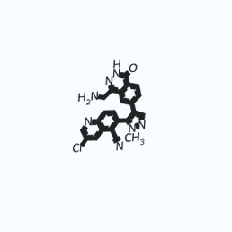 Cn1ncc(-c2ccc3c(=O)[nH]nc(CN)c3c2)c1-c1ccc2ncc(Cl)cc2c1C#N